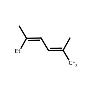 CC/C(C)=C\C=C(/C)C(F)(F)F